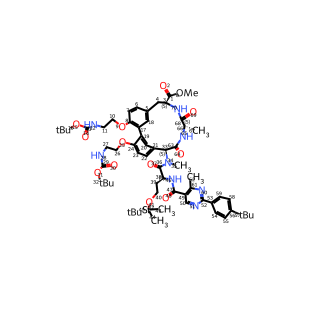 COC(=O)[C@@H]1Cc2ccc(OCCNC(=O)OC(C)(C)C)c(c2)-c2cc(ccc2OCCNC(=O)OC(C)(C)C)[C@H](N(C)C(=O)[C@H](CCO[Si](C)(C)C(C)(C)C)NC(=O)c2cnc(-c3ccc(C(C)(C)C)cc3)nc2C)C(=O)N[C@@H](C)C(=O)N1